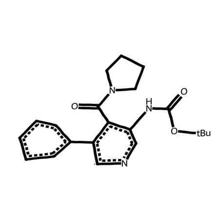 CC(C)(C)OC(=O)Nc1cn[c]c(-c2ccccc2)c1C(=O)N1CCCC1